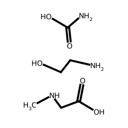 CNCC(=O)O.NC(=O)O.NCCO